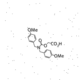 COc1ccc(CN(Cc2ccc(OC)cc2)C(=O)OCC(=O)O)cc1